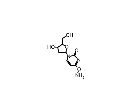 NOc1ccn(C2C[C@@H](O)C(CO)O2)c(=O)n1